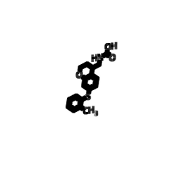 Cc1ccccc1Sc1ccc2c(c1)OCCC2CNC(=O)O